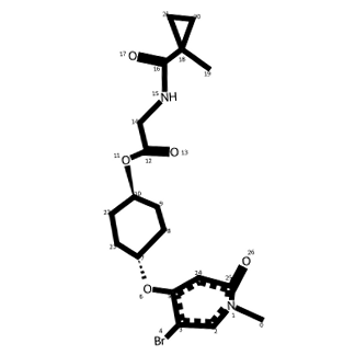 Cn1cc(Br)c(O[C@H]2CC[C@H](OC(=O)CNC(=O)C3(C)CC3)CC2)cc1=O